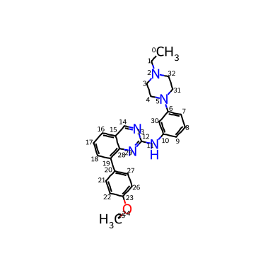 CCN1CCN(c2cccc(Nc3ncc4cccc(-c5ccc(OC)cc5)c4n3)c2)CC1